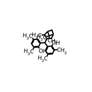 Cc1cc(C)c(O)c(C(c2cc(C)cc(C)c2O)C2CC3CC(C2C)C3(C)C)c1